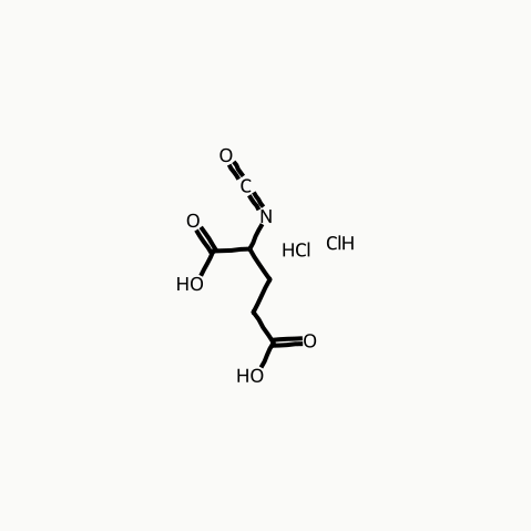 Cl.Cl.O=C=NC(CCC(=O)O)C(=O)O